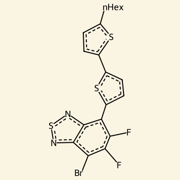 CCCCCCc1ccc(-c2ccc(-c3c(F)c(F)c(Br)c4nsnc34)s2)s1